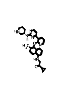 Cc1ccc2c(NCC(=O)C3CC3)cccc2c1Oc1ncccc1-c1ccnc(N[C@H]2CCCNC2)n1